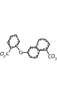 O=C(O)c1ccccc1Oc1ccc2c(C(=O)O)cccc2c1